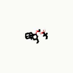 CCC1CC2(C)C3CC4CC(C3)C(OC(C)OC(=O)C(C)(C)CC)(C1)C2C4